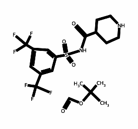 CC(C)(C)OC=O.O=C(NS(=O)(=O)c1cc(C(F)(F)F)cc(C(F)(F)F)c1)C1CCNCC1